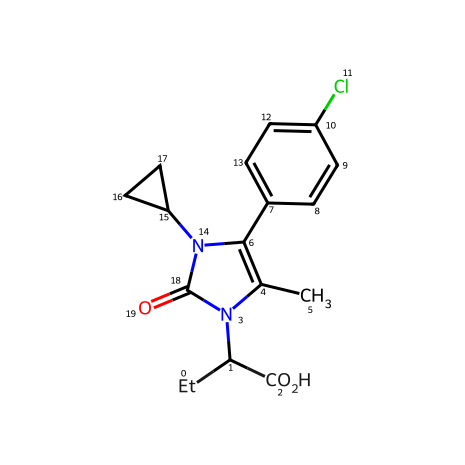 CCC(C(=O)O)n1c(C)c(-c2ccc(Cl)cc2)n(C2CC2)c1=O